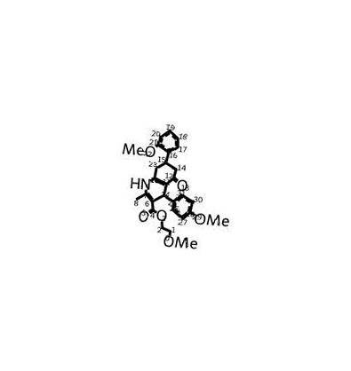 COCCOC(=O)C1=C(C)NC2=C(C(=O)CC(c3ccccc3OC)C2)C1c1ccc(OC)cc1